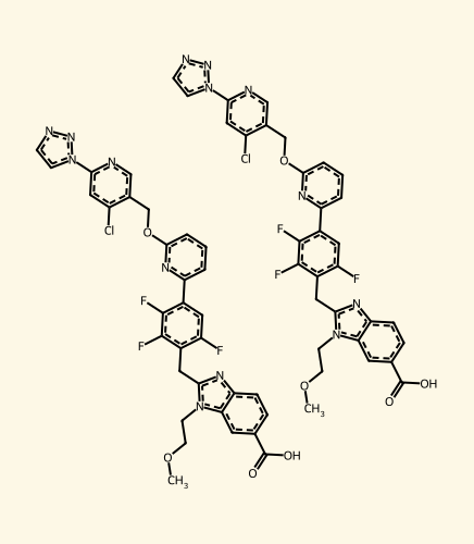 COCCn1c(Cc2c(F)cc(-c3cccc(OCc4cnc(-n5ccnn5)cc4Cl)n3)c(F)c2F)nc2ccc(C(=O)O)cc21.COCCn1c(Cc2c(F)cc(-c3cccc(OCc4cnc(-n5ccnn5)cc4Cl)n3)c(F)c2F)nc2ccc(C(=O)O)cc21